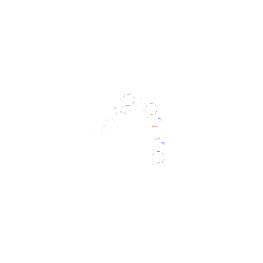 CN(C)[C@@H]1CCN(C(=O)Nc2cc(Oc3ccc(NC(=O)CC(=O)Nc4ccc(F)cc4)cc3F)ccn2)C1